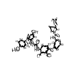 CN(C)[C@@H]1CCN(C(=O)Nc2cc(Oc3ccc(NC(=O)Nc4cc(O)nn4-c4ccc(O)cc4)c(Cl)c3Cl)ccn2)C1